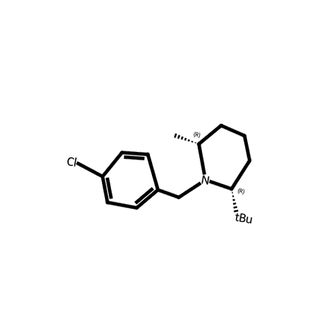 C[C@@H]1CCC[C@H](C(C)(C)C)N1Cc1ccc(Cl)cc1